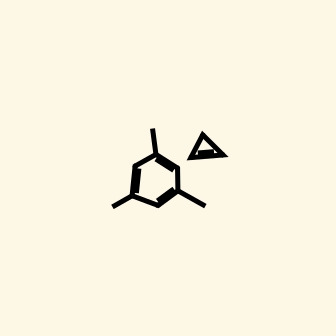 C1=CC1.Cc1cc(C)cc(C)c1